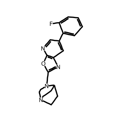 Fc1ccccc1-c1cnc2oc(N3CCN4CCC3CC4)nc2c1